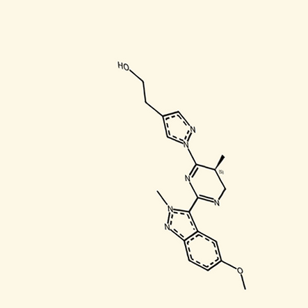 COc1ccc2nn(C)c(C3=NC[C@H](C)C(n4cc(CCO)cn4)=N3)c2c1